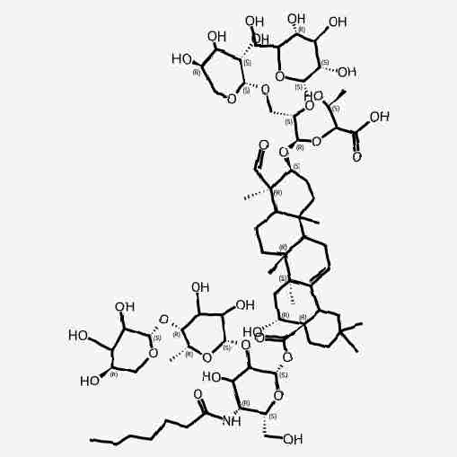 CCCCCCC(=O)N[C@@H]1C(O)C(O[C@@H]2O[C@H](C)[C@H](O[C@@H]3OC[C@@H](O)C(O)C3O)C(O)C2O)[C@H](OC(=O)[C@]23CCC(C)(C)CC2C2=CCC4C5(C)CC[C@H](O[C@H](OC(C(=O)O)[C@H](C)O)[C@H](CO[C@@H]6OC[C@@H](O)C(O)[C@@H]6O)O[C@@H]6OC(CO)[C@H](O)C(O)[C@@H]6O)[C@](C)(C=O)C5CC[C@@]4(C)[C@]2(C)C[C@H]3O)O[C@@H]1CO